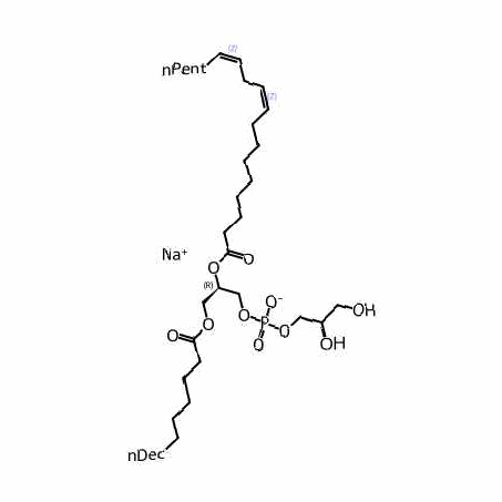 CCCCC/C=C\C/C=C\CCCCCCCC(=O)O[C@H](COC(=O)CCCCCCCCCCCCCCC)COP(=O)([O-])OCC(O)CO.[Na+]